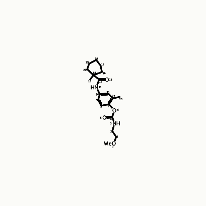 COCCNC(=O)Oc1ccc(NC(=O)C2(C)CCCCC2)cc1C